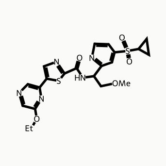 CCOc1cncc(-c2cnc(C(=O)NC(COC)c3cc(S(=O)(=O)C4CC4)ccn3)s2)n1